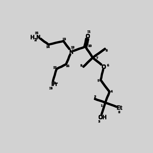 CCC(C)(O)CCOC(C)(C)C(=O)N(CCN)CCC(C)C